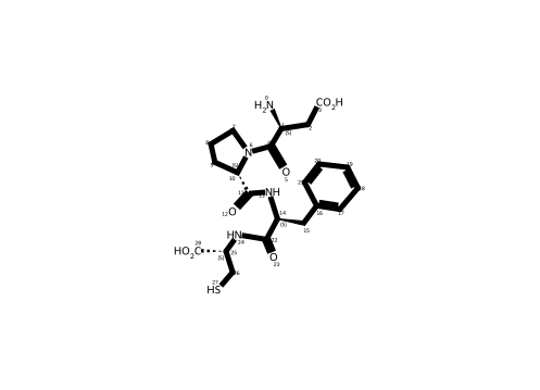 N[C@@H](CC(=O)O)C(=O)N1CCC[C@H]1C(=O)N[C@@H](Cc1ccccc1)C(=O)N[C@H](CS)C(=O)O